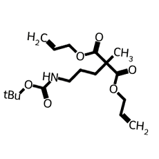 C=CCOC(=O)C(C)(CCCNC(=O)OC(C)(C)C)C(=O)OCC=C